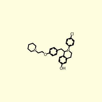 Oc1ccc2c(c1)CCN(c1ccc(Cl)cc1)C2Cc1ccc(OCCN2CCCCC2)cc1